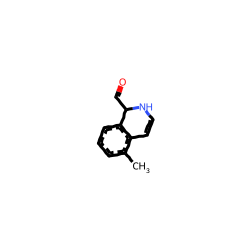 Cc1cccc2c1C=CNC2C=O